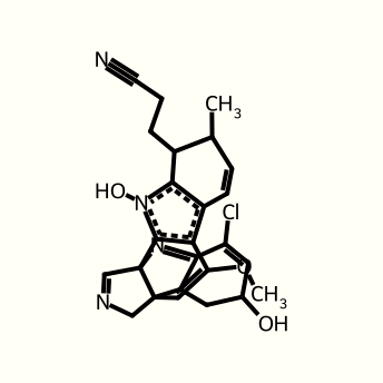 COC1=CC23CN=CC2(N=C2C(Cl)=CC(O)CC23)c2c1c1c(n2O)C(CCC#N)C(C)C=C1